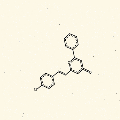 O=c1cc(/C=C/c2ccc(Cl)cc2)oc(-c2ccccc2)c1